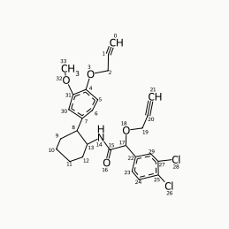 C#CCOc1ccc(C2CCCCC2NC(=O)C(OCC#C)c2ccc(Cl)c(Cl)c2)cc1OC